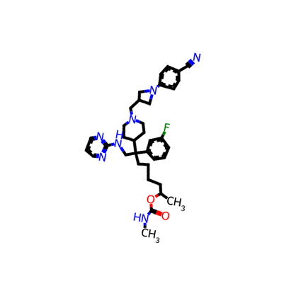 CNC(=O)OC(C)CCCCC(CNc1ncccn1)(c1cccc(F)c1)C1CCN(CC2CN(c3ccc(C#N)cc3)C2)CC1